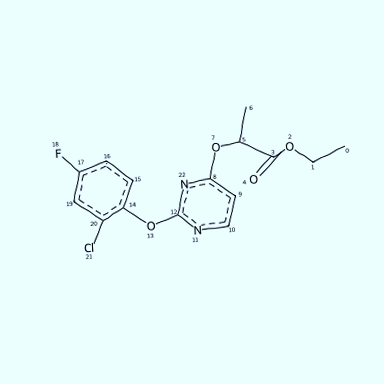 CCOC(=O)C(C)Oc1ccnc(Oc2c[c]c(F)cc2Cl)n1